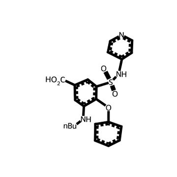 CCCCNc1cc(C(=O)O)cc(S(=O)(=O)Nc2ccncc2)c1Oc1ccccc1